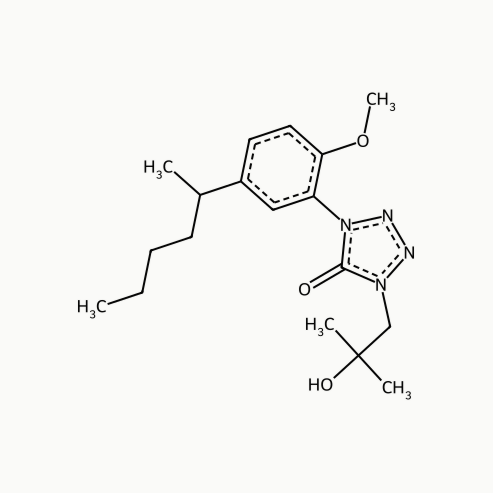 CCCCC(C)c1ccc(OC)c(-n2nnn(CC(C)(C)O)c2=O)c1